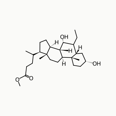 CCC1[C@@H](O)[C@@H]2[C@H](CC[C@]3(C)[C@@H](C(C)CCC(=O)OC)CC[C@@H]23)[C@@]2(C)CC[C@@H](O)C[C@@H]12